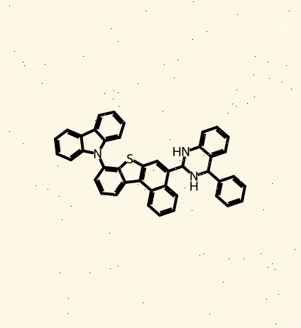 c1ccc(C2NC(c3cc4sc5c(-n6c7ccccc7c7ccccc76)cccc5c4c4ccccc34)Nc3ccccc32)cc1